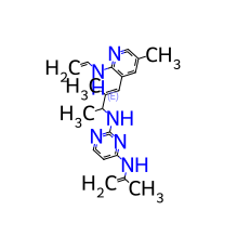 C=CNc1ncc(C)cc1/C=C(\C)C(C)Nc1nccc(NC(=C)C)n1